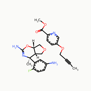 CC#CCOc1ccc(C(=O)OC)nc1.C[C@]1(c2cc(N)ccc2F)N=C(N)O[C@@H]2COC[C@@H]21